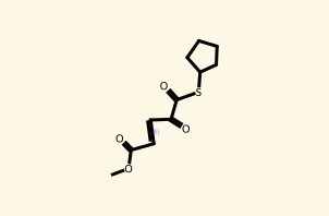 COC(=O)/C=C/C(=O)C(=O)SC1CCCC1